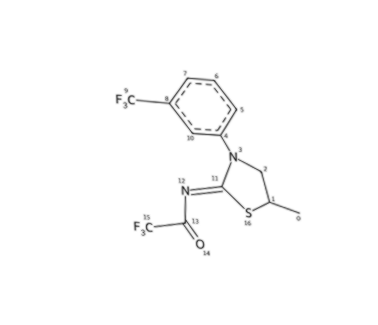 CC1CN(c2cccc(C(F)(F)F)c2)C(=NC(=O)C(F)(F)F)S1